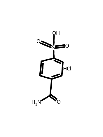 Cl.NC(=O)c1ccc(S(=O)(=O)O)cc1